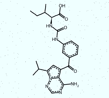 CCC(C)[C@H](NC(=O)Nc1cccc(C(=O)c2cc(C(C)C)n3ncnc(N)c23)c1)C(=O)O